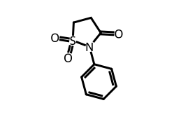 O=C1CCS(=O)(=O)N1c1ccccc1